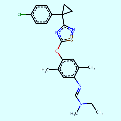 CCN(C)C=Nc1cc(C)c(Oc2nc(C3(c4ccc(Cl)cc4)CC3)ns2)cc1C